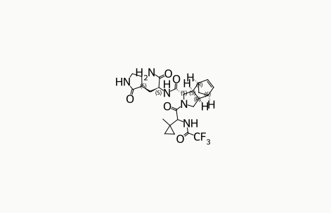 CC1(C(NC(=O)C(F)(F)F)C(=O)N2C[C@H]3[C@@H]([C@H]2C(=O)N[C@@H](C[C@@H]2CCNC2=O)C(N)=O)[C@H]2C=C[C@@H]3C2)CC1